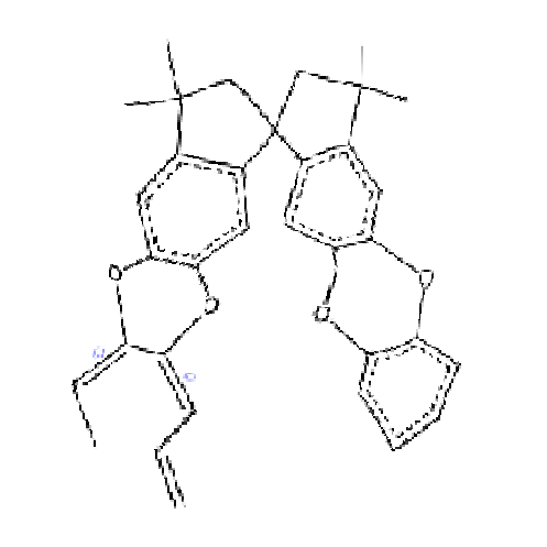 C=C/C=C1/Oc2cc3c(cc2O/C1=C/C)C(C)(C)CC31CC(C)(C)c2cc3c(cc21)Oc1ccccc1O3